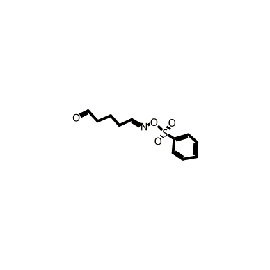 O=CCCCC=NOS(=O)(=O)c1ccccc1